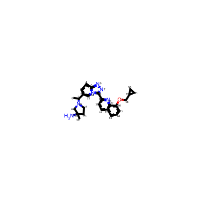 CC(c1ccc2nnc(-c3ccc4cccc(OCC5CC5)c4n3)n2c1)N1CCC(C)(N)C1